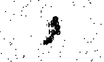 CN(C)Cc1ccc(CSCCNC(=O)c2cccc(NS(=O)(=O)c3ccccc3)c2)o1